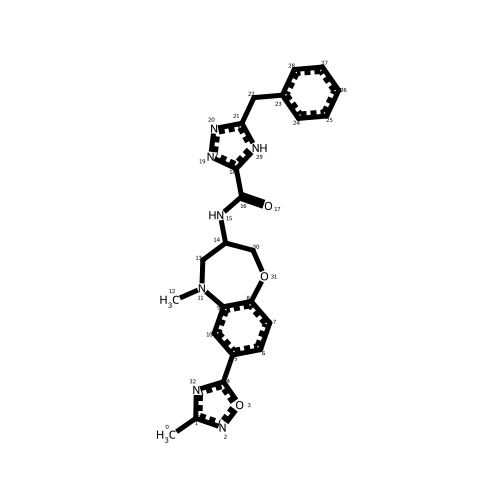 Cc1noc(-c2ccc3c(c2)N(C)CC(NC(=O)c2nnc(Cc4ccccc4)[nH]2)CO3)n1